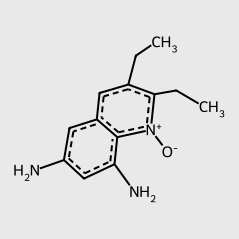 CCc1cc2cc(N)cc(N)c2[n+]([O-])c1CC